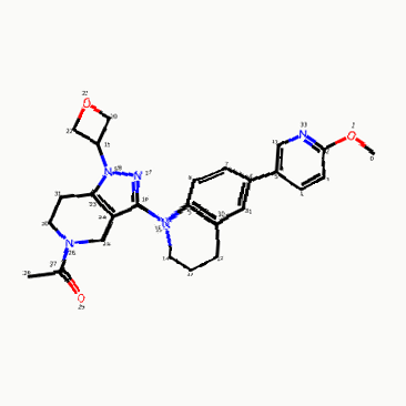 COc1ccc(-c2ccc3c(c2)CCCN3c2nn(C3COC3)c3c2CN(C(C)=O)CC3)cn1